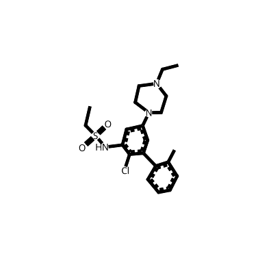 CCN1CCN(c2cc(NS(=O)(=O)CC)c(Cl)c(-c3ccccc3C)c2)CC1